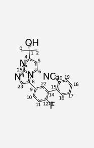 CC(C)(O)c1ccn2c(-c3ccc(F)c(-c4ccccc4C#N)c3)cnc2n1